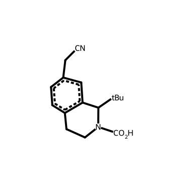 CC(C)(C)C1c2cc(CC#N)ccc2CCN1C(=O)O